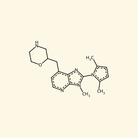 Cc1ccc(C)n1-c1nc2c(CC3CNCCO3)ccnc2n1C